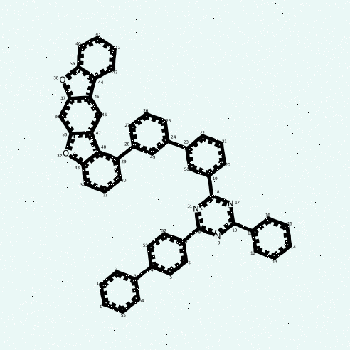 c1ccc(-c2ccc(-c3nc(-c4ccccc4)nc(-c4cccc(-c5cccc(-c6cccc7oc8cc9oc%10ccccc%10c9cc8c67)c5)c4)n3)cc2)cc1